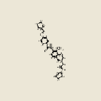 Cc1c(NC(=O)c2ccc(OC[C@H]3CCCO3)cc2)ccc2cc(CNC[C@@H]3CCCO3)cnc12